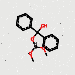 CO[SiH](OC)O[Si](O)(c1ccccc1)c1ccccc1